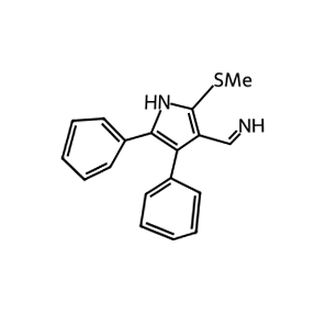 CSc1[nH]c(-c2ccccc2)c(-c2ccccc2)c1C=N